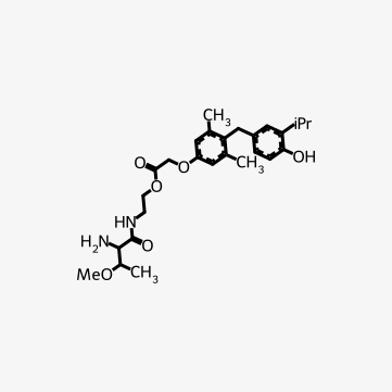 COC(C)C(N)C(=O)NCCOC(=O)COc1cc(C)c(Cc2ccc(O)c(C(C)C)c2)c(C)c1